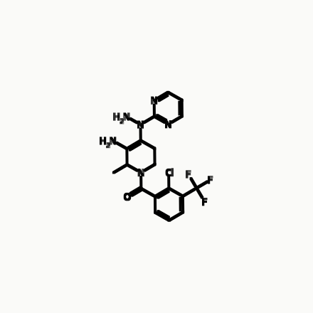 CC1C(N)=C(N(N)c2ncccn2)CCN1C(=O)c1cccc(C(F)(F)F)c1Cl